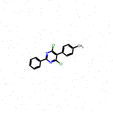 Cc1ccc(-c2c(Cl)nc(-c3ccccc3)nc2Cl)cc1